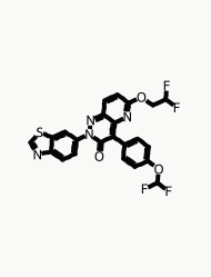 O=c1c(-c2ccc(OC(F)F)cc2)c2nc(OCC(F)F)ccc2nn1-c1ccc2ncsc2c1